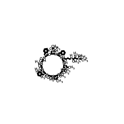 CC(C)C[C@@H]1NC(=O)[C@H](CCCCNC(=O)[C@@H](N)C[S](S)C(C)(C)C)NC(=O)[C@H](Cc2ccccc2)NC(=O)C(C[S](S)C(C)(C)C)OC(=O)[C@H](Cc2ccccc2)NC(=O)[C@H](C)NC(=O)[C@H](C)N(C)C(=O)[C@H](Cc2ccccc2)N(C)C(=O)[C@H](C)NC(=O)[C@H](CC(C)C)N(C)C(=O)[C@H](C)N(C)C1=O